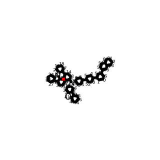 c1cc(-c2ccc(-c3ccc(N(c4ccc(-c5ccccc5-n5c6ccccc6c6ccccc65)cc4)c4ccc5oc6ccccc6c5c4)cc3)cc2)cc(-c2ccc3ccccc3c2)c1